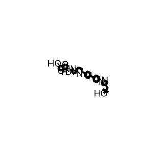 CC(C)(O)Cc1cnn(-c2ccc(-c3ccc(-c4ccc5[nH]c(O[C@@H]6COC7[C@H](O)CO[C@@H]76)cc5n4)cc3)cc2)c1